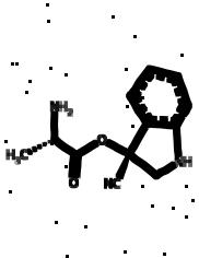 C[C@H](N)C(=O)O[C@@]1(C#N)CNc2ccccc21